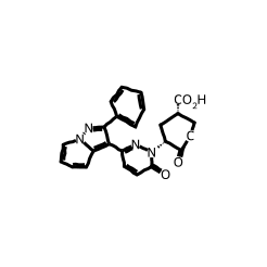 O=C(O)[C@@H]1CCC(=O)[C@H](n2nc(-c3c(-c4ccccc4)nn4ccccc34)ccc2=O)C1